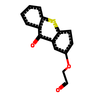 O=CCOc1ccc2sc3ccccc3c(=O)c2c1